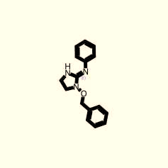 c1ccc(CON2CCN/C2=N\c2ccccc2)cc1